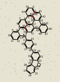 c1ccc(-c2ccc(-c3ccccc3N(c3ccc(-c4ccc5oc6ccccc6c5c4)cc3)c3ccc4c5ccccc5c5ccccc5c4c3)cc2)cc1